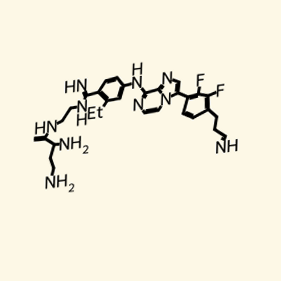 C=C(NCCNC(=N)c1ccc(Nc2nccn3c(-c4ccc(CCC=N)c(F)c4F)cnc23)cc1CC)C(N)CCN